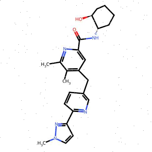 Cc1nc(C(=O)N[C@H]2CCCC[C@@H]2O)cc(Cc2ccc(-c3ccn(C)n3)nc2)c1C